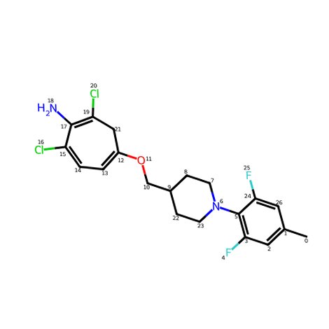 Cc1cc(F)c(N2CCC(COC3=CC=C(Cl)C(N)=C(Cl)C3)CC2)c(F)c1